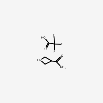 NC(=O)C1CNC1.O=C(O)C(F)(F)F